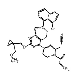 C=CC(=O)N1CCN(c2nc(OCC3(COC)CC3)nc3c2CCN(c2cccc4cccc(Cl)c24)C3)CC1CC#N